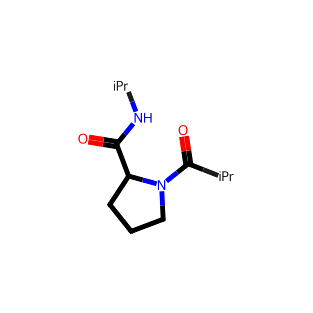 CC(C)NC(=O)C1CCCN1C(=O)C(C)C